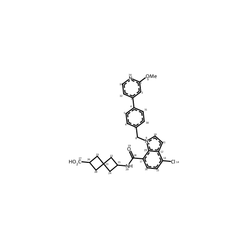 COc1cc(-c2ccc(Cn3ccc4c(Cl)ccc(C(=O)NC5CC6(C5)CC(C(=O)O)C6)c43)cc2)ccn1